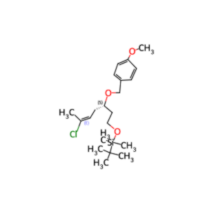 COc1ccc(CO[C@@H](C/C=C(\C)Cl)CCO[Si](C)(C)C(C)(C)C)cc1